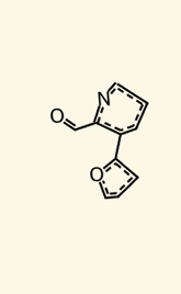 O=Cc1ncccc1-c1ccco1